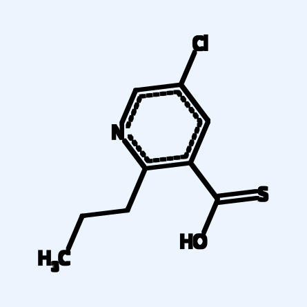 CCCc1ncc(Cl)cc1C(O)=S